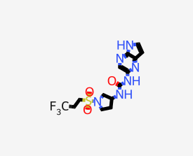 O=C(Nc1cnc2[nH]ccc2n1)NC1CCN(S(=O)(=O)CCC(F)(F)F)C1